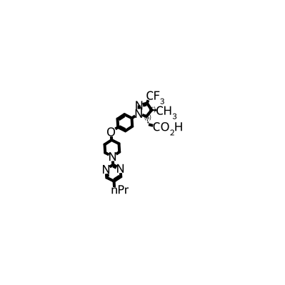 CCCc1cnc(N2CCC(OC3=CCC(N4N=C(C(F)(F)F)[C@@H](C)[C@@H]4CC(=O)O)C=C3)CC2)nc1